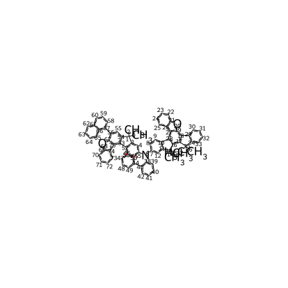 CC1(C)c2cc(N(c3ccc4c(c3)C(C)(C)c3c5c(c6oc7ccccc7c6c3-4)-c3ccccc3C5(C)C)c3ccccc3-c3ccccc3)ccc2-c2c1cc(-c1cccc3ccccc13)c1oc3ccccc3c21